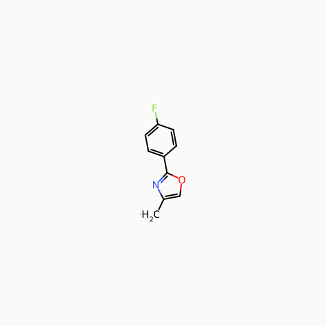 [CH2]c1coc(-c2ccc(F)cc2)n1